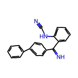 N#CNc1ccccc1C(=N)c1ccc(-c2ccccc2)cc1